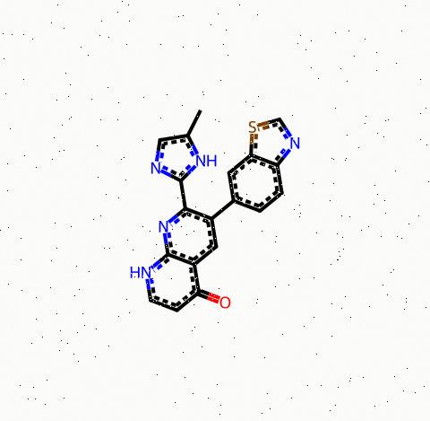 Cc1cnc(-c2nc3[nH]ccc(=O)c3cc2-c2ccc3ncsc3c2)[nH]1